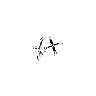 O=S(=O)([O-])O.O=S(=O)([O-])[O-].[K+].[Mg+2]